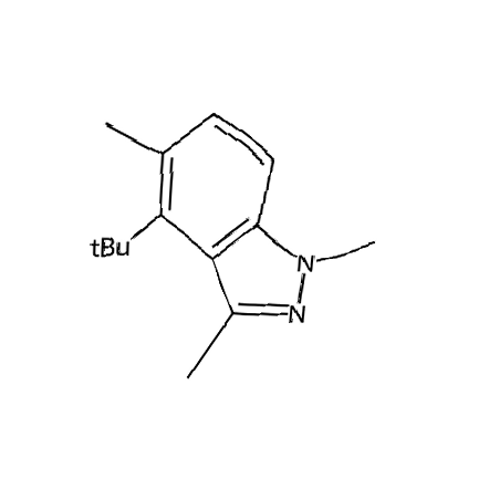 Cc1ccc2c(c(C)nn2C)c1C(C)(C)C